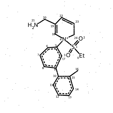 CCS(=O)(=O)[N+]1(c2cccc(-c3ccccc3C)c2)C=C(CN)C=CC1